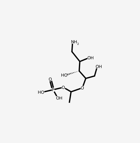 CC(OC(CO)[C@H](O)C(O)CN)OP(=O)(O)O